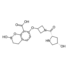 O=C(O)c1c(OC2CN(C(=O)[C@@H]3C[C@H](O)CN3)C2)ccc2c1OB(O)CC2